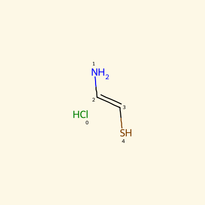 Cl.NC=CS